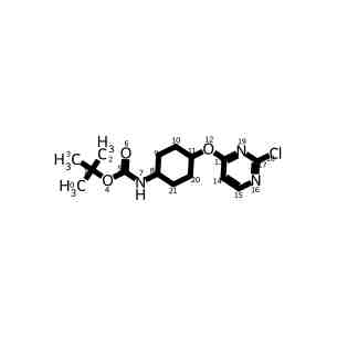 CC(C)(C)OC(=O)NC1CCC(Oc2ccnc(Cl)n2)CC1